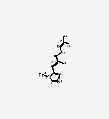 CCn1cncc1/C=C(\C)CCC=C(C)C